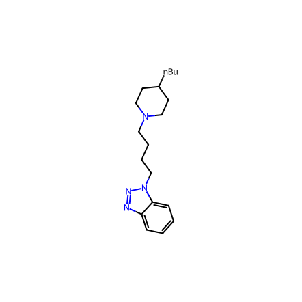 CCCCC1CCN(CCCCn2nnc3ccccc32)CC1